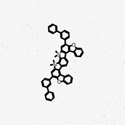 C[Si]1(C)c2cc(-c3cccc(-c4ccccc4)c3)c3oc4ccccc4c3c2-c2ccc3c(c21)[Si](C)(C)c1cc(-c2cccc(-c4ccccc4)c2)c2oc4ccccc4c2c1-3